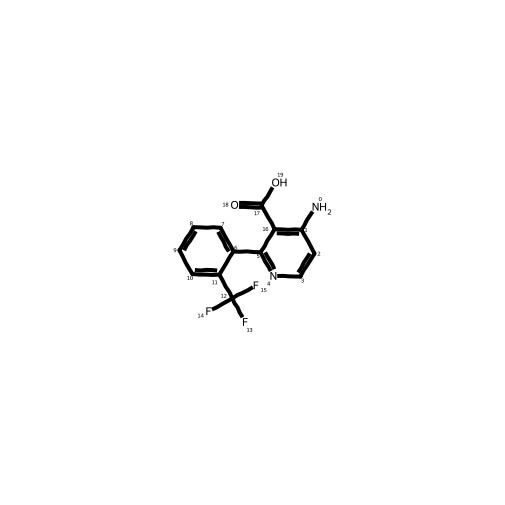 Nc1ccnc(-c2ccccc2C(F)(F)F)c1C(=O)O